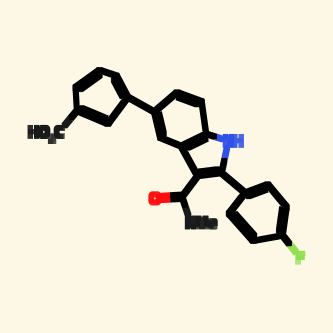 CNC(=O)c1c(-c2ccc(F)cc2)[nH]c2ccc(-c3cccc(C(=O)O)c3)cc12